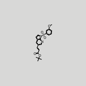 COc1cccc(S(=O)(=O)n2ccc3cc(/C=C/C(=O)OC(C)(C)C)cnc32)c1